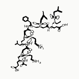 CCN(C[C@H](CCC(=O)O)NC(=O)CN(C[C@H](Cc1ccccc1)NC(=O)CN(C[C@H](CC(C)C)NC(=O)CN(C[C@H](CCC(=O)O)NC(C)=O)S(=O)(=O)CCN)S(=O)(=O)CCN)S(=O)(=O)CC(C)C)S(=O)(=O)CC(C)C